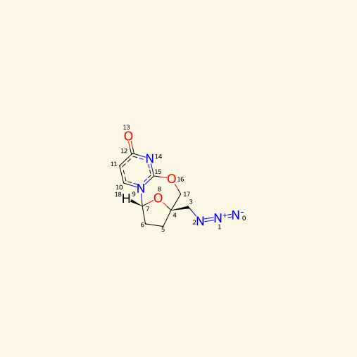 [N-]=[N+]=NC[C@@]12CC[C@@H](O1)n1ccc(=O)nc1OC2